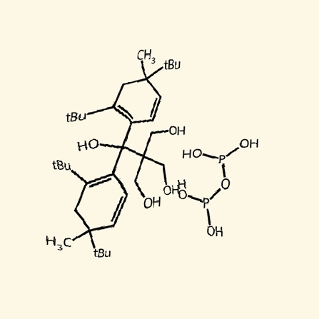 CC(C)(C)C1=C(C(O)(C2=C(C(C)(C)C)CC(C)(C(C)(C)C)C=C2)C(CO)(CO)CO)C=CC(C)(C(C)(C)C)C1.OP(O)OP(O)O